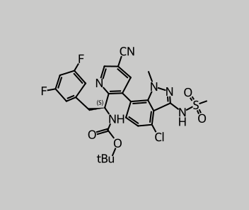 Cn1nc(NS(C)(=O)=O)c2c(Cl)ccc(-c3cc(C#N)cnc3[C@H](Cc3cc(F)cc(F)c3)NC(=O)OC(C)(C)C)c21